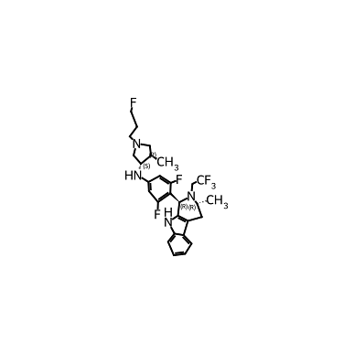 C[C@@H]1CN(CCCF)C[C@H]1Nc1cc(F)c([C@@H]2c3[nH]c4ccccc4c3C[C@@H](C)N2CC(F)(F)F)c(F)c1